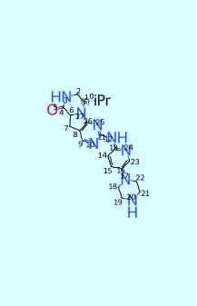 CC(C)[C@H]1CNC(=O)C2Cc3cnc(Nc4ccc(N5CCNCC5)cn4)nc3N21